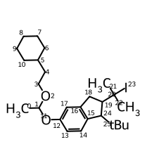 CC(OCCC1CCCCC1)Oc1ccc2c(c1)CC(C(C)(C)I)C2C(C)(C)C